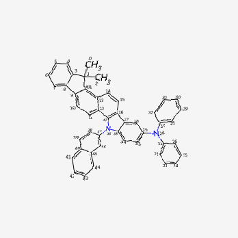 CC1(C)c2ccccc2-c2ccc3c(ccc4c5cc(N(c6ccccc6)c6ccccc6)ccc5n(-c5ccc6ccccc6c5)c34)c21